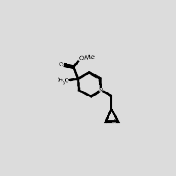 COC(=O)C1(C)CCN(CC2CC2)CC1